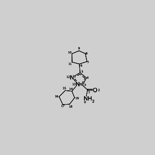 NC(=O)c1cc(C2CCCCC2)nn1C1CCCCC1